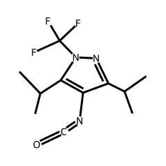 CC(C)c1nn(C(F)(F)F)c(C(C)C)c1N=C=O